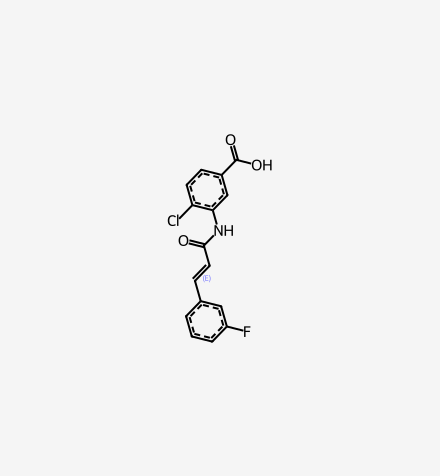 O=C(/C=C/c1cccc(F)c1)Nc1cc(C(=O)O)ccc1Cl